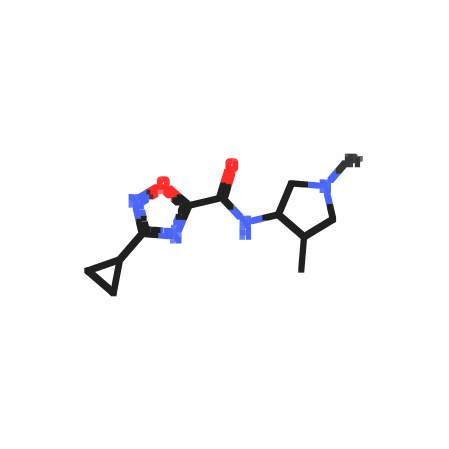 CC1CN(C(C)C)CC1NC(=O)c1nc(C2CC2)no1